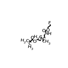 C=C(C)C(=O)OCC[N+](C)(C)CCNC(=O)OCCF